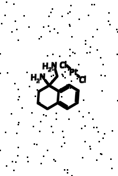 NCC1(N)CCCc2ccccc21.[Cl][Pt][Cl]